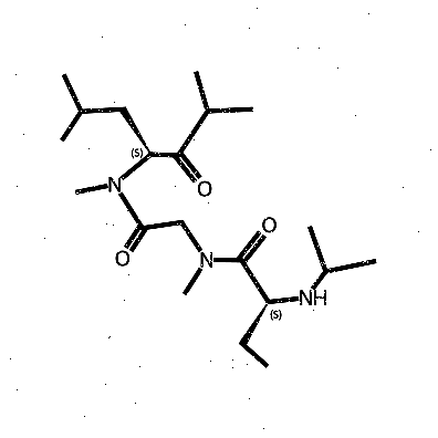 CC[C@H](NC(C)C)C(=O)N(C)CC(=O)N(C)[C@@H](CC(C)C)C(=O)C(C)C